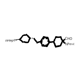 CCCCCCC[C@H]1CC[C@H](CCc2ccc(C3CCC(C=O)(CCCCC)CC3)cc2)CC1